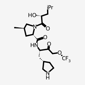 CC(C)C[C@@H](O)C(=O)N1C[C@H](C)C[C@H]1C(=O)N[C@@H](C[C@@H]1CCNC1)C(=O)COC(F)(F)F